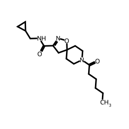 CCCCCC(=O)N1CCC2(CC1)CC(C(=O)NCC1CC1)=NO2